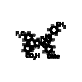 CC[C@H]1CN(C(=O)[C@]2(F)CN([C@H]3CC[C@@H](C)CC3)C[C@H]2c2ccc(OC)cc2)C[C@@H]1c1ccc(C(F)(F)F)cc1N1CCC(C(=O)O)CC1